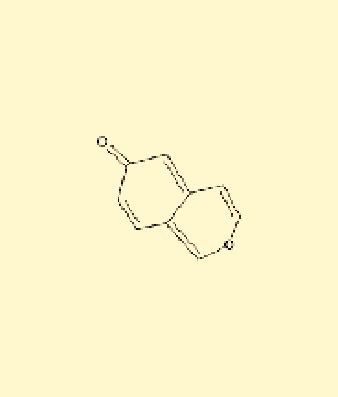 O=c1ccc2coccc-2c1